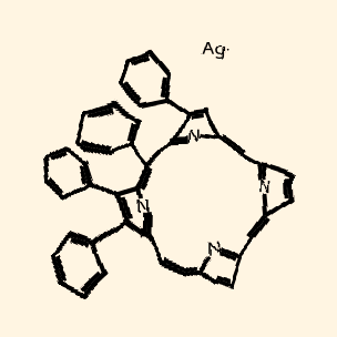 C1=CC2=NC1=CC1=NC(=C(c3ccccc3)C3=NC(=CC4=NC(=C2)C=C4)C=C3c2ccccc2)C(c2ccccc2)=C1c1ccccc1.[Ag]